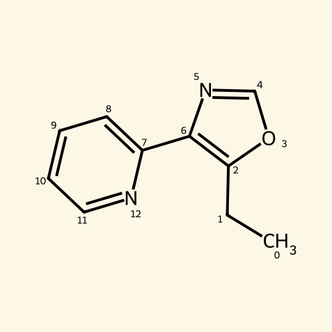 CCc1ocnc1-c1ccccn1